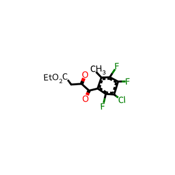 CCOC(=O)CC(=O)C(=O)c1c(C)c(F)c(F)c(Cl)c1F